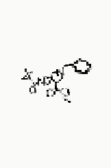 CCOC(=O)C1CN(Cc2ccccc2)CC12CN(C(=O)[C@H]1CC1(C)C)C2